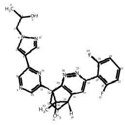 CC(O)Cn1cc(-c2cncc([C@@]34CC[C@@H](c5cc(-c6c(F)cccc6F)nnc53)C4(C)C)n2)cn1